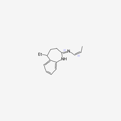 C/C=C\N=C1\CCC(CC)c2ccccc2N1